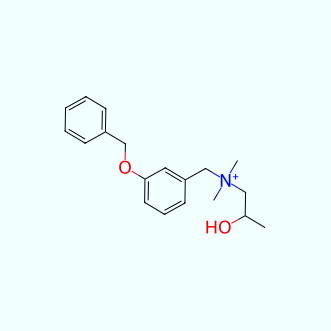 CC(O)C[N+](C)(C)Cc1cccc(OCc2ccccc2)c1